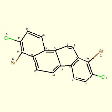 Clc1ccc2c(ccc3c4ccc(Cl)c(Br)c4ccc23)c1Br